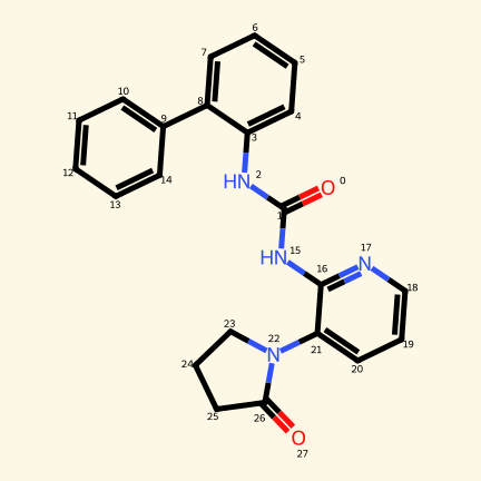 O=C(Nc1ccccc1-c1ccccc1)Nc1ncccc1N1CCCC1=O